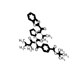 CC(C)[C@H](N)C(=O)N(C(=O)c1ccc(C(=O)OC(C)(C)C)cc1)C(=O)[C@@H]1CCCN1[C@H](C(=O)c1nc2ccccc2o1)C(C)C